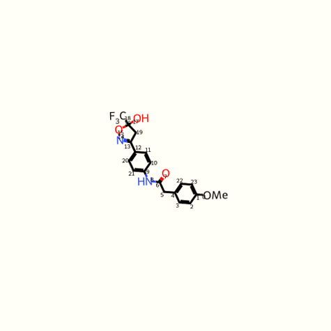 COc1ccc(CC(=O)Nc2ccc(C3=NOC(O)(C(F)(F)F)C3)cc2)cc1